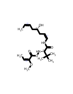 C/C=C\C[C@H](O)C/C=C\NC(=O)[C@@H](NOC(=O)/C(=C\C)OC)C(C)(C)C